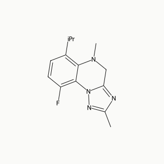 Cc1nc2n(n1)-c1c(F)ccc(C(C)C)c1N(C)C2